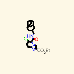 CCOC(=O)c1cn2c(C(=O)NCC3CC4CC5CC(C3)C(C4)C5)c(Cl)ccc2n1